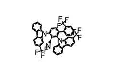 N#Cc1c(-n2c3ccccc3c3ccc(C(F)(F)F)cc32)ccc(-c2ccccc2C(F)(F)F)c1-n1c2ccccc2c2ccc(C(F)(F)F)cc21